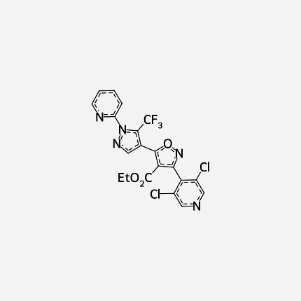 CCOC(=O)c1c(-c2c(Cl)cncc2Cl)noc1-c1cnn(-c2ccccn2)c1C(F)(F)F